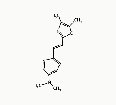 Cc1nc(C=Cc2ccc(N(C)C)cc2)oc1C